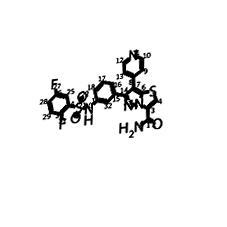 NC(=O)c1csc2c(-c3ccncc3)c(-c3cccc(NS(=O)(=O)c4cc(F)ccc4F)c3)nn12